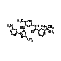 Cc1cc(Nc2cc(NC(=O)c3ccnc(C(C)(C)C)c3)ccc2C)n(-c2cc(N)ncn2)n1